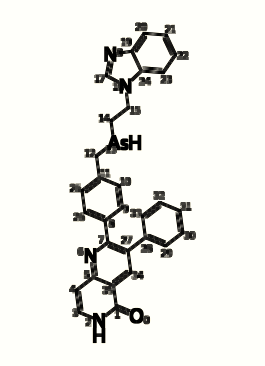 O=c1[nH]ccc2nc(-c3ccc(C[AsH]CCn4cnc5ccccc54)cc3)c(-c3ccccc3)cc12